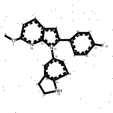 COc1ccc2cc(-c3ccc(F)cc3)n(-c3ccc4c(c3)CCN4)c2n1